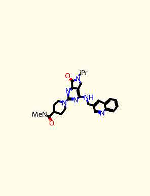 CNC(=O)C1CCN(c2nc(NCc3cnc4ccccc4c3)c3c(n2)C(=O)N(C(C)C)C3)CC1